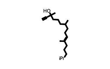 C#CC(C)(O)CCCC(C)CC/C=C(\C)CCCC(C)C